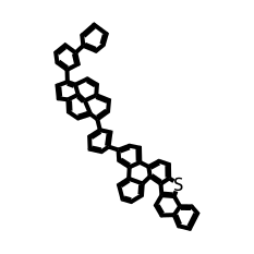 c1ccc(-c2cccc(-c3ccc4ccc5c(-c6cccc(-c7ccc8c(c7)c7ccccc7c7c8ccc8sc9c%10ccccc%10ccc9c87)c6)ccc6ccc3c4c65)c2)cc1